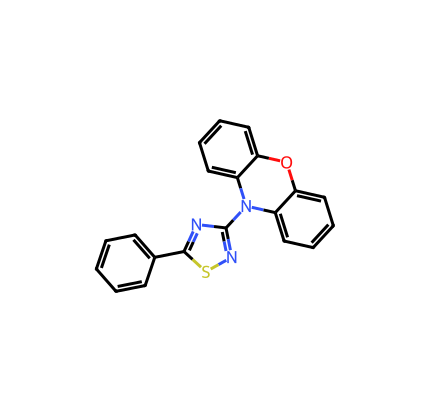 c1ccc(-c2nc(N3c4ccccc4Oc4ccccc43)ns2)cc1